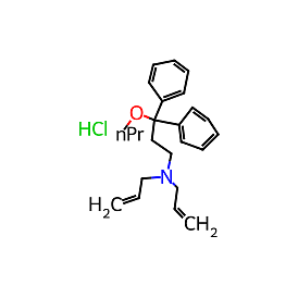 C=CCN(CC=C)CCC(OCCC)(c1ccccc1)c1ccccc1.Cl